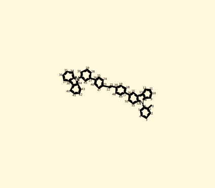 Cc1ccccc1-n1c2ccccc2c2cc(-c3ccc(/C=C/c4ccc(-c5cccc(-n6c7ccccc7c7ccccc76)c5)cc4)cc3)ccc21